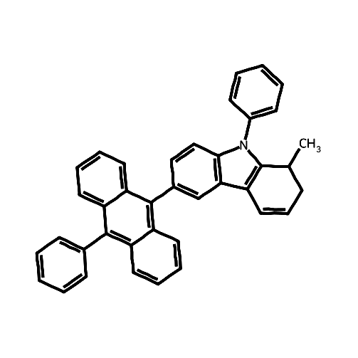 CC1CC=Cc2c1n(-c1ccccc1)c1ccc(-c3c4ccccc4c(-c4ccccc4)c4ccccc34)cc21